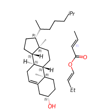 C/C=C/C(=O)OC=CCC.CC(C)CCCC(C)[C@H]1CC[C@H]2[C@@H]3CC=C4C[C@@H](O)CC[C@]4(C)[C@H]3CC[C@]12C